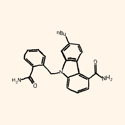 CCCCc1c[c]c2c3c(C(N)=O)cccc3n(Cc3ccccc3C(N)=O)c2c1